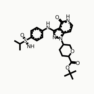 CC(C)S(=N)(=O)c1ccc(Nc2nn(C3CCC(C(=O)OC(C)(C)C)OC3)c3cc[nH]c(=O)c23)cc1